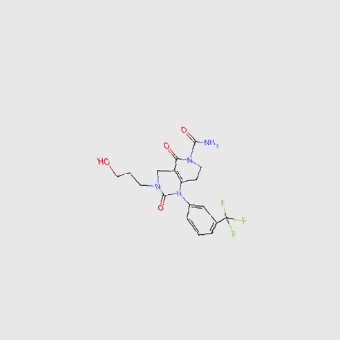 NC(=O)N1CCC2=C(CN(CCCO)C(=O)N2c2cccc(C(F)(F)F)c2)C1=O